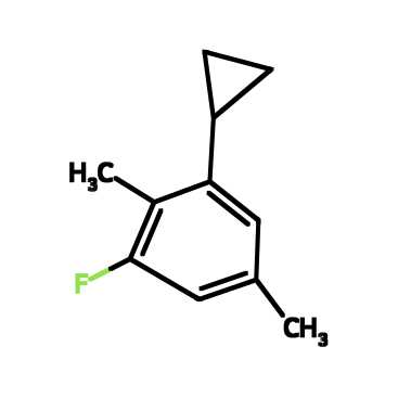 Cc1cc(F)c(C)c(C2CC2)c1